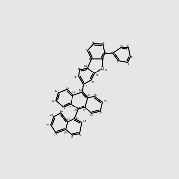 c1ccc(-c2cccc3c2oc2cc(-c4c5ccccc5c(-c5cccc6ccccc56)c5ccccc45)ccc23)cc1